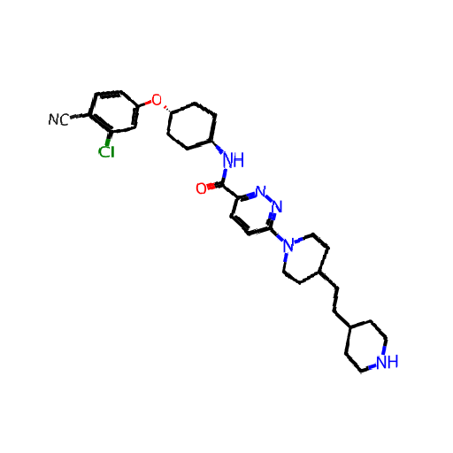 N#Cc1ccc(O[C@H]2CC[C@H](NC(=O)c3ccc(N4CCC(CCC5CCNCC5)CC4)nn3)CC2)cc1Cl